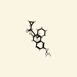 COc1ccc2c(c1)[C@@]13CCCCC1(O)[C@@H](C2)N(C(=O)C1CC1)CC3